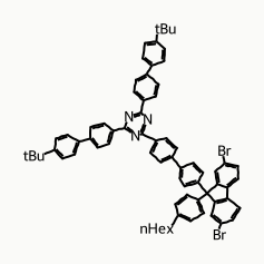 CCCCCCc1ccc(C2(c3ccc(-c4ccc(-c5nc(-c6ccc(-c7ccc(C(C)(C)C)cc7)cc6)nc(-c6ccc(-c7ccc(C(C)(C)C)cc7)cc6)n5)cc4)cc3)c3cc(Br)ccc3-c3ccc(Br)cc32)cc1